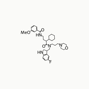 COc1cccc(C(=O)NCCC(C(=O)N(CCCN2CCOCC2)CC2CNc3ccc(F)cc32)C2CCCCC2)c1